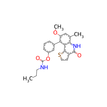 CCCNC(=O)Oc1cccc(-c2c(OC)cc(C)c3[nH]c(=O)c4ccsc4c23)c1